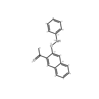 CC(=O)c1cc2ccccc2cc1ONc1ccccc1